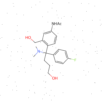 CC(=O)Nc1ccc(C(CCCO)(c2ccc(F)cc2)N(C)C)c(CO)c1